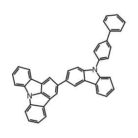 c1ccc(-c2ccc(-n3c4ccccc4c4cc(-c5cc6c7ccccc7n7c8ccccc8c(c5)c67)ccc43)cc2)cc1